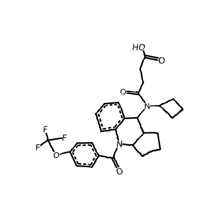 O=C(O)CCC(=O)N(C1CCC1)C1c2ccccc2N(C(=O)c2ccc(OC(F)(F)F)cc2)C2CCCC21